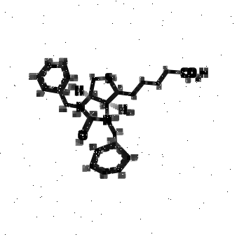 O=C(O)CCCCC1SC[C@H]2[C@@H]1N(Cc1ccccc1)C(=O)N2Cc1ccccc1